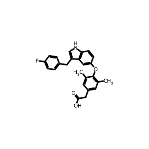 Cc1cc(CC(=O)O)cc(C)c1Oc1ccc2[nH]cc(Cc3ccc(F)cc3)c2c1